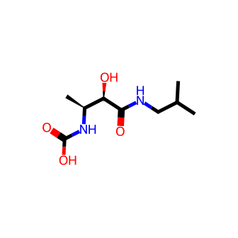 CC(C)CNC(=O)[C@H](O)[C@H](C)NC(=O)O